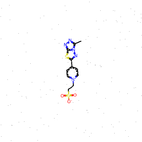 Cc1nnc2sc(-c3cc[n+](CCS(=O)(=O)[O-])cc3)nn12